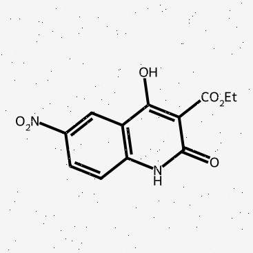 CCOC(=O)c1c(O)c2cc([N+](=O)[O-])ccc2[nH]c1=O